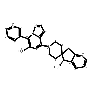 Cc1nc(N2CCC3(CC2)Cc2ncccc2[C@H]3N)c2ccnn2c1-c1cncnc1